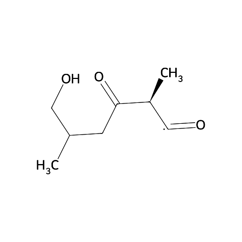 CC(CO)CC(=O)[C@@H](C)[C]=O